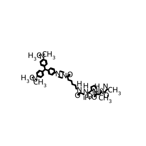 CC(N)C(=O)NC(C)C(=O)N1CCCC1C(=O)NC(C(=O)NCCCCCC(=O)N1CCN(c2ccc(C(c3ccc(N(C)C)cc3)c3ccc(N(C)C)cc3)cc2)CC1)C(C)C